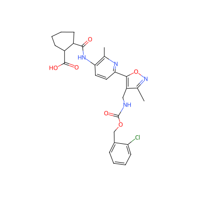 Cc1nc(-c2onc(C)c2CNC(=O)OCc2ccccc2Cl)ccc1NC(=O)C1CCCCC1C(=O)O